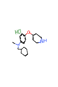 CN(CC1CCCCC1)c1ccc(OC2CCNCC2)cc1.Cl